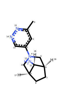 Cc1cc(N2C[C@H]3CC[C@@H](C2)[C@H]3N)cnn1